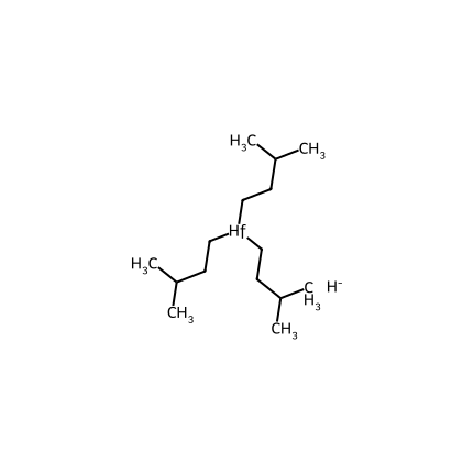 CC(C)C[CH2][Hf]([CH2]CC(C)C)[CH2]CC(C)C.[H-]